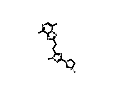 Cc1ncc(C)n2nc(CCc3nc(N4CC[C@H](F)C4)nn3C)nc12